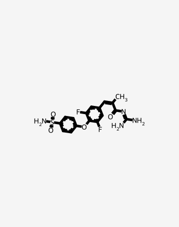 CC(=Cc1cc(F)c(Oc2ccc(S(N)(=O)=O)cc2)c(F)c1)C(=O)N=C(N)N